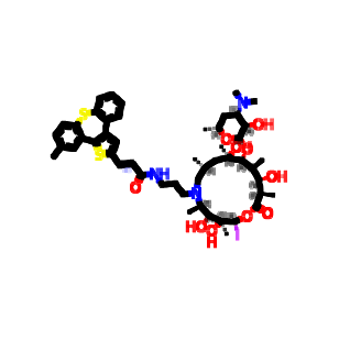 Cc1ccc2c(c1)-c1sc(/C=C/C(=O)NCCCN3C[C@H](C)C[C@@](C)(O)[C@H](O[C@@H]4O[C@H](C)C[C@H](N(C)C)[C@H]4O)[C@@H](C)[C@H](O)[C@@H](C)C(=O)O[C@H](I)[C@@](C)(O)[C@H](O)[C@H]3C)cc1-c1ccccc1S2